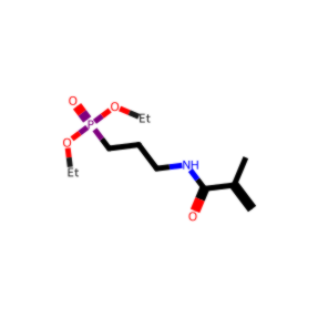 C=C(C)C(=O)NCCCP(=O)(OCC)OCC